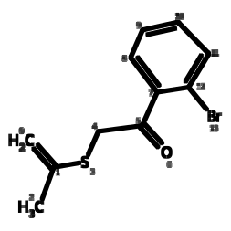 C=C(C)SCC(=O)c1ccccc1Br